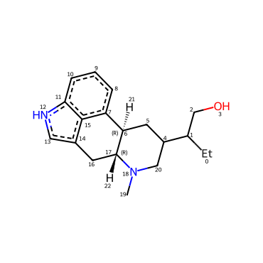 CCC(CO)C1C[C@@H]2c3cccc4[nH]cc(c34)C[C@H]2N(C)C1